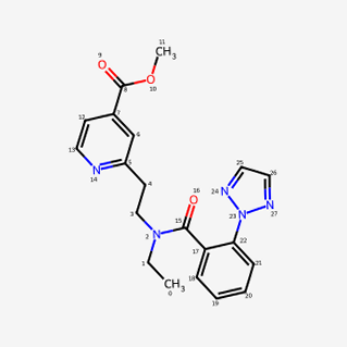 CCN(CCc1cc(C(=O)OC)ccn1)C(=O)c1ccccc1-n1nccn1